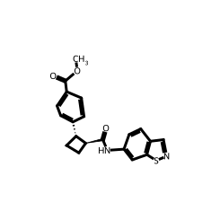 COC(=O)c1ccc([C@H]2CC[C@@H]2C(=O)Nc2ccc3cnsc3c2)cc1